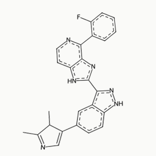 CC1=NC=C(c2ccc3[nH]nc(-c4nc5c(-c6ccccc6F)nccc5[nH]4)c3c2)C1C